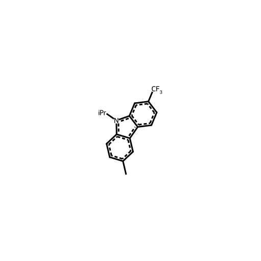 Cc1ccc2c(c1)c1ccc(C(F)(F)F)cc1n2C(C)C